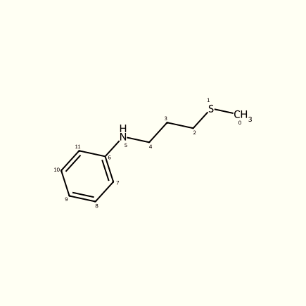 CSCCCNc1ccccc1